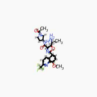 COc1ccc(-c2nc(C(=O)N[C@@H]3CCN(C(C)=O)C3)c([C@H](C)N)o2)c2ccc(C(F)(F)F)nc12